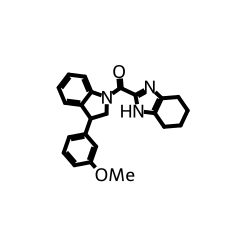 COc1cccc(C2CN(C(=O)c3nc4c([nH]3)CCCC4)c3ccccc32)c1